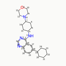 c1nc(NC2CCC(N3CCOCC3)CC2)c2cc(C3CCCCC3)ccc2n1